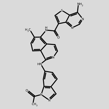 CC(=O)n1ncc2ccc(Nc3nccc4c(NC(=O)c5csc6c(N)ncnc56)c(C)ccc34)cc21